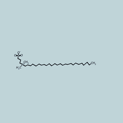 CCCCCCCCCCCCCCCCCCCCCCCCCC[N+](C)(C)CCCS(=O)(=O)[O-]